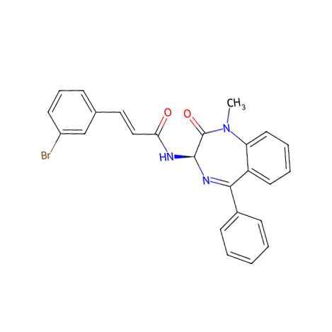 CN1C(=O)[C@H](NC(=O)C=Cc2cccc(Br)c2)N=C(c2ccccc2)c2ccccc21